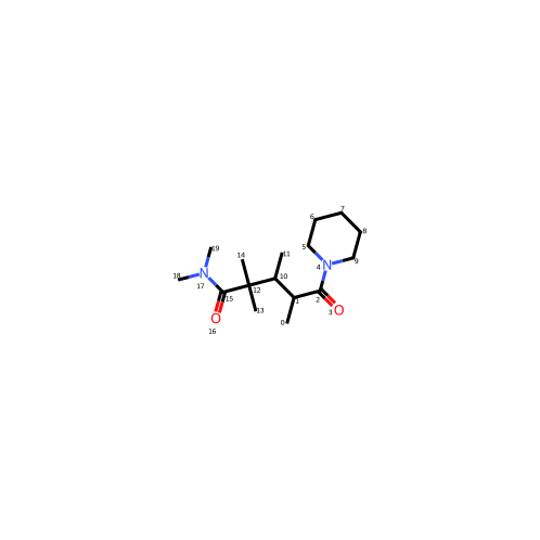 CC(C(=O)N1CCCCC1)C(C)C(C)(C)C(=O)N(C)C